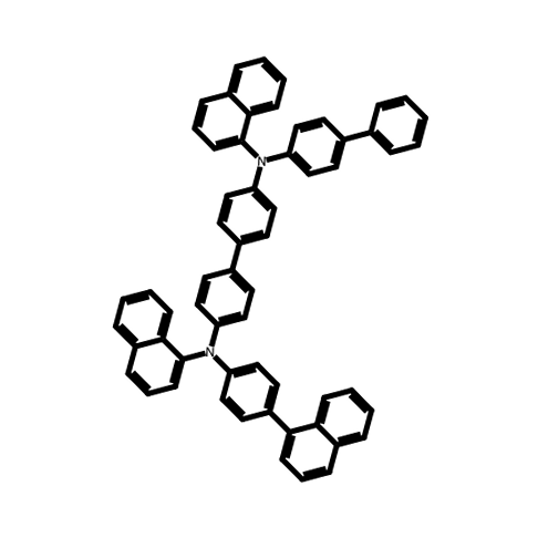 c1ccc(-c2ccc(N(c3ccc(-c4ccc(N(c5ccc(-c6cccc7ccccc67)cc5)c5cccc6ccccc56)cc4)cc3)c3cccc4ccccc34)cc2)cc1